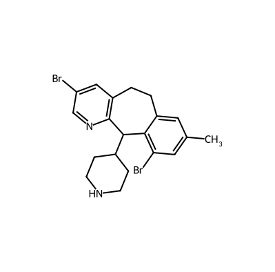 Cc1cc(Br)c2c(c1)CCc1cc(Br)cnc1C2C1CCNCC1